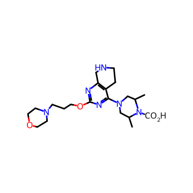 CC1CN(c2nc(OCCCN3CCOCC3)nc3c2CCNC3)CC(C)N1C(=O)O